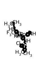 CN(C)CCCNc1ccc(S(=O)(=O)NC(=O)c2ccc(NCCNCC3=C(c4ccc(Cl)cc4)CC(C)(C)CC3)cc2Oc2ccc3[nH]ccc3c2)cc1C(F)(F)F